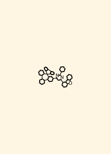 c1ccc(-c2nc(-c3ccc4c(c3)C3(c5ccccc5-c5ccccc5-4)c4ccccc4-c4ccccc43)cc(-c3cccc4oc5ccccc5c34)n2)cc1